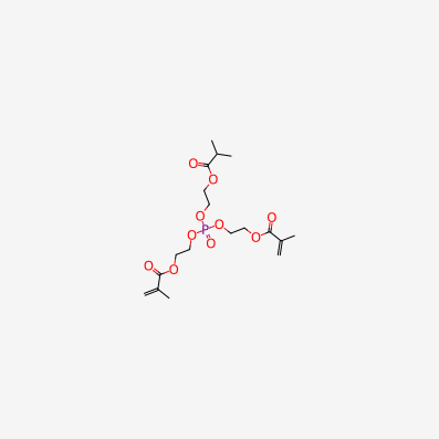 C=C(C)C(=O)OCCOP(=O)(OCCOC(=O)C(=C)C)OCCOC(=O)C(C)C